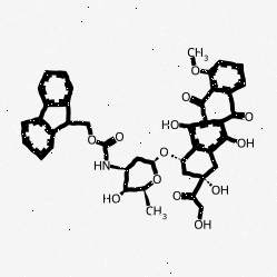 COc1cccc2c1C(=O)c1c(O)c3c(c(O)c1C2=O)C[C@@](O)(C(=O)CO)C[C@@H]3O[C@H]1C[C@H](NC(=O)OCC2c3ccccc3-c3ccccc32)[C@H](O)[C@H](C)O1